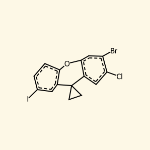 Clc1cc2c(cc1Br)Oc1ccc(I)cc1C21CC1